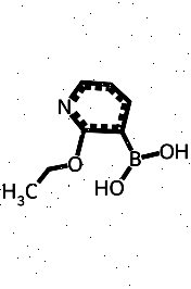 CCOc1ncccc1B(O)O